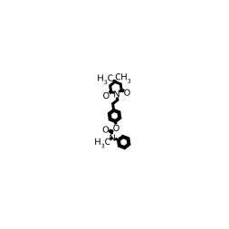 CN(C(=O)Oc1ccc(CCN2C(=O)CC(C)(C)CC2=O)cc1)c1ccccc1